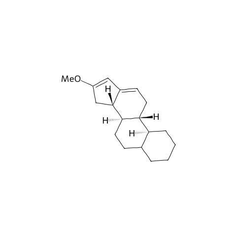 COC1=CC2=CC[C@H]3[C@@H](CCC4CCCC[C@@H]43)[C@@H]2C1